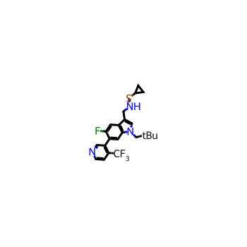 CC(C)(C)Cn1cc(CNSC2CC2)c2cc(F)c(-c3cnccc3C(F)(F)F)cc21